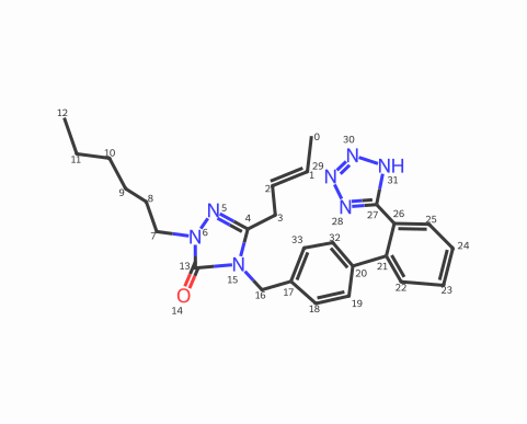 CC=CCc1nn(CCCCCC)c(=O)n1Cc1ccc(-c2ccccc2-c2nnn[nH]2)cc1